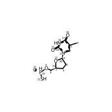 Cc1cn([C@H]2CC[C@@H](CO[PH](=O)S)O2)c(=O)[nH]c1=O